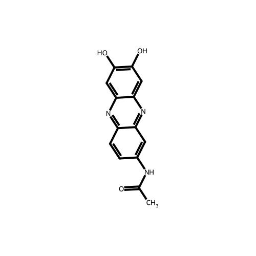 CC(=O)Nc1ccc2nc3cc(O)c(O)cc3nc2c1